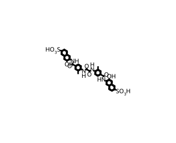 Cc1cc(C(=O)Nc2cc3ccc(S(=O)(=O)O)cc3cc2O)ccc1NC(=O)C(=O)Nc1ccc(C(=O)Nc2cc3ccc(S(=O)(=O)O)cc3cc2O)cc1C